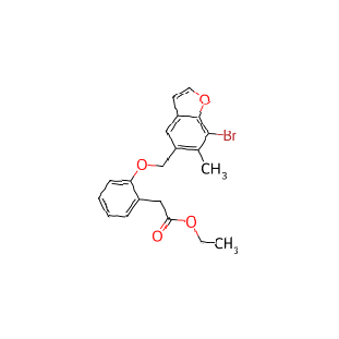 CCOC(=O)Cc1ccccc1OCc1cc2ccoc2c(Br)c1C